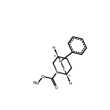 CC(C)(C)OC(=O)N1C[C@@H]2CC[C@H]1CN2c1ccccc1